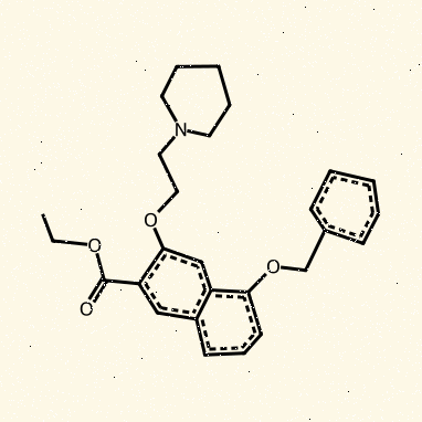 CCOC(=O)c1cc2cccc(OCc3ccccc3)c2cc1OCCN1CCCCC1